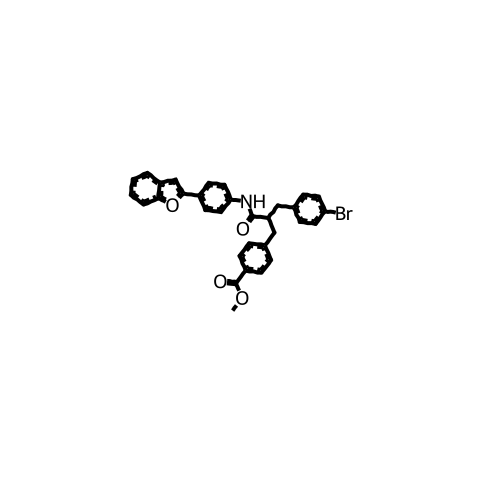 COC(=O)c1ccc(CC(Cc2ccc(Br)cc2)C(=O)Nc2ccc(-c3cc4ccccc4o3)cc2)cc1